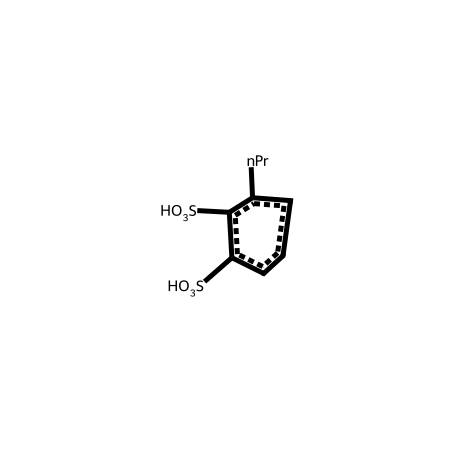 CCCc1cccc(S(=O)(=O)O)c1S(=O)(=O)O